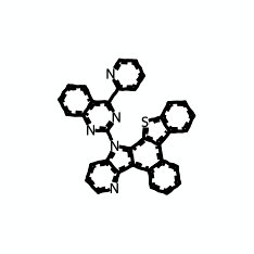 c1ccc(-c2nc(-n3c4cccnc4c4c5ccccc5c5c6ccccc6sc5c43)nc3ccccc23)nc1